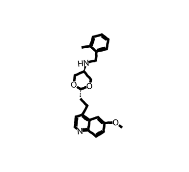 COc1ccc2nccc(CC[C@H]3OC[C@H](NCc4ccccc4C)CO3)c2c1